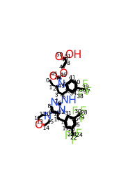 CC[C@@H]1C[C@H](Nc2ncc(N3CCOCC3)c(Cc3cc(C(F)(F)F)cc(C(F)(F)F)c3)n2)c2cc(C(F)(F)F)ccc2N1C(=O)OCCC(=O)O